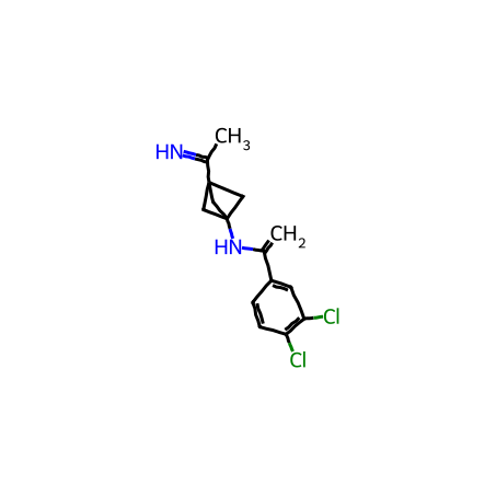 C=C(NC12CC(C(C)=N)(C1)C2)c1ccc(Cl)c(Cl)c1